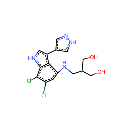 OCC(CO)CNc1cc(Cl)c(Cl)c2[nH]cc(-c3cn[nH]c3)c12